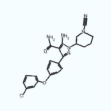 N#CN1CCCC(n2nc(-c3ccc(Oc4cccc(Cl)c4)cc3)c(C(N)=O)c2N)C1